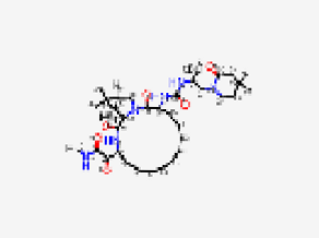 CCNC(=O)C(=O)[C@@H]1CCCCCCCCC[C@H](NC(=O)N[C@H](CN2CCC(C)(C)CC2=O)C(C)(C)C)C(=O)N2C[C@H]3[C@@H]([C@H]2C(=O)N1)C3(C)C